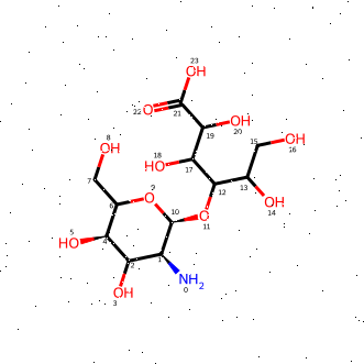 N[C@H]1C(O)[C@@H](O)C(CO)O[C@H]1OC(C(O)CO)C(O)C(O)C(=O)O